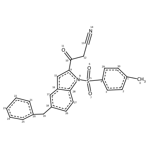 Cc1ccc(S(=O)(=O)n2c(C(=O)CC#N)cc3cc(Cc4ccccc4)ccc32)cc1